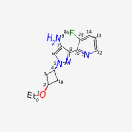 CCO[C@H]1C[C@@H](n2cc(N)c(-c3ncccc3F)n2)C1